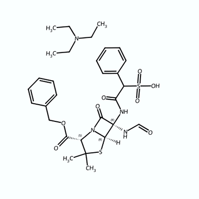 CC1(C)S[C@H]2N(C(=O)[C@@]2(NC=O)NC(=O)C(c2ccccc2)S(=O)(=O)O)[C@H]1C(=O)OCc1ccccc1.CCN(CC)CC